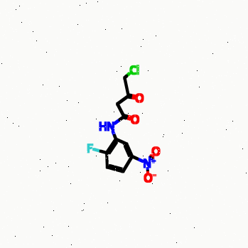 O=C(CCl)CC(=O)Nc1cc([N+](=O)[O-])ccc1F